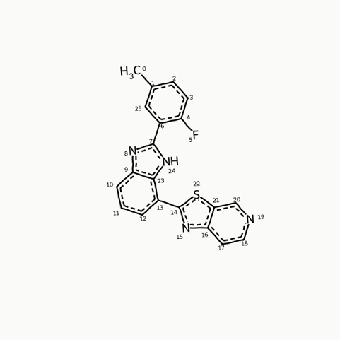 Cc1ccc(F)c(-c2nc3cccc(-c4nc5ccncc5s4)c3[nH]2)c1